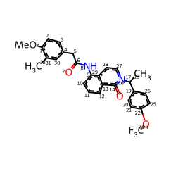 COc1ccc(CC(=O)Nc2cccc3c(=O)n(C(C)c4ccc(OC(F)(F)F)cc4)ccc23)cc1C